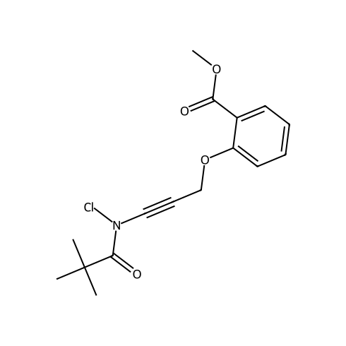 COC(=O)c1ccccc1OCC#CN(Cl)C(=O)C(C)(C)C